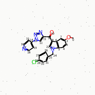 COc1ccc2c(c1)c(C(=O)c1cn(-c3ccncc3)nn1)cn2Cc1ccc(Cl)cc1